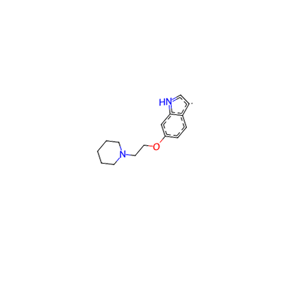 [c]1c[nH]c2cc(OCCN3CCCCC3)ccc12